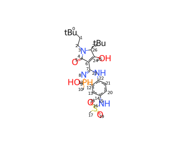 CC(C)(C)CCN1C(=O)C(C2=N[PH](C)(O)c3cc(NS(C)(=O)=O)ccc3N2)=C(O)[C@@H]1C(C)(C)C